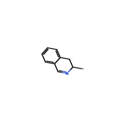 [CH2]C1Cc2ccccc2C=N1